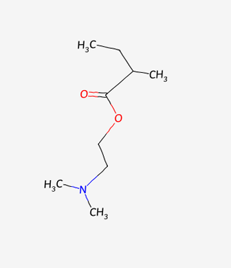 CCC(C)C(=O)OCCN(C)C